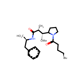 CC[C@H](C)CCCC(=O)N1CCCC1[C@H](OC)[C@@H](C)C(=O)N[C@@H](Cc1ccccc1)C(=O)O